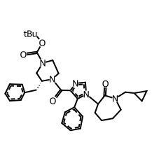 CC(C)(C)OC(=O)N1CCN(C(=O)c2ncn(C3CCCCN(CC4CC4)C3=O)c2-c2ccccc2)[C@H](Cc2ccccc2)C1